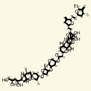 C=C1C[C@H](CC[C@]23OC4[C@@H]5O[C@H]6CC[C@H](CC(=O)O[C@H]7COCC(OC8C[C@H](O[C@H]9CC[C@@]%10(C[C@H](C)[C@@H]%11O[C@H]([C@@H](O)C[C@@H](O)CO)C[C@@H]%11O%10)O[C@H]9C)O[C@@H]8CC)C7)O[C@@H]6[C@H](O2)C5OC4(O)[C@H]3O)O[C@H]1CC[C@H]1C[C@@H](C)C(=C)[C@@H](CC)O1